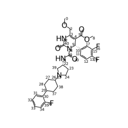 COCC1=C(C(=O)OC)[C@H](c2ccc(F)c(F)c2)N(C(=O)N[C@@H]2CCN(C3CCC(c4ccccc4F)CC3)C2)C(=O)N1